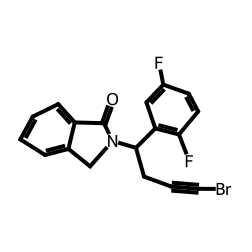 O=C1c2ccccc2CN1C(CC#CBr)c1cc(F)ccc1F